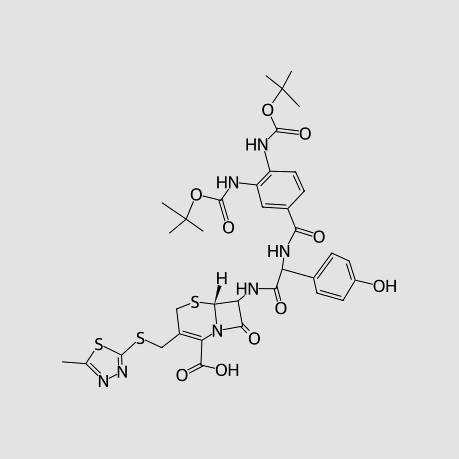 Cc1nnc(SCC2=C(C(=O)O)N3C(=O)C(NC(=O)C(NC(=O)c4ccc(NC(=O)OC(C)(C)C)c(NC(=O)OC(C)(C)C)c4)c4ccc(O)cc4)[C@H]3SC2)s1